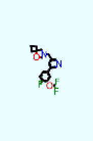 Fc1ccc(-c2cncc(CN3COC4(CCC4)C3)c2)cc1OC(F)F